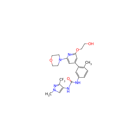 Cc1ccc(NC(=O)Nc2cn(C)nc2C(F)(F)F)cc1-c1cc(OCCO)nc(N2CCOCC2)c1